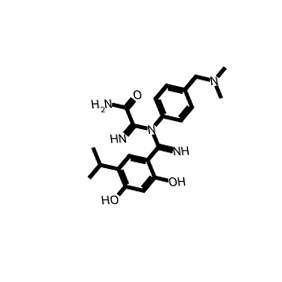 CC(C)c1cc(C(=N)N(C(=N)C(N)=O)c2ccc(CN(C)C)cc2)c(O)cc1O